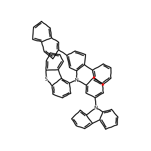 c1ccc(-c2ccc(-c3ccc4ccccc4c3)cc2N(c2cccc(-n3c4ccccc4c4ccccc43)c2)c2cccc3sc4ccccc4c23)cc1